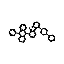 C1=CC(c2ccccc2)CC=C1c1cccc2oc3c(-c4c5ccccc5c(-c5ccccc5)c5ccccc45)cccc3c12